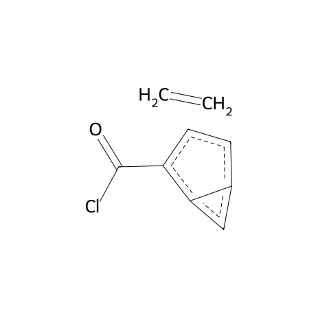 C=C.O=C(Cl)c1ccc2cc1-2